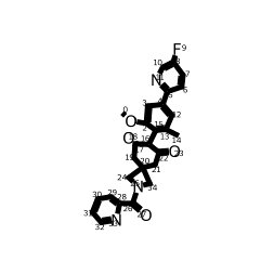 COc1cc(-c2ccc(F)cn2)cc(C)c1C1C(=O)CC2(CC1=O)CN(C(=O)c1ccccn1)C2